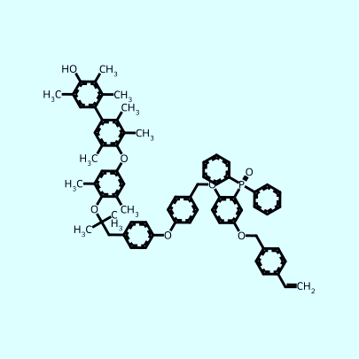 C=Cc1ccc(COc2ccc(OCc3ccc(Oc4ccc(CC(C)(C)Oc5c(C)cc(Oc6c(C)cc(-c7cc(C)c(O)c(C)c7C)c(C)c6C)cc5C)cc4)cc3)c(P(=O)(c3ccccc3)c3ccccc3)c2)cc1